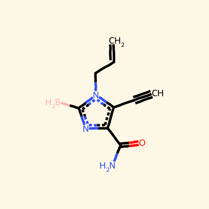 Bc1nc(C(N)=O)c(C#C)n1CC=C